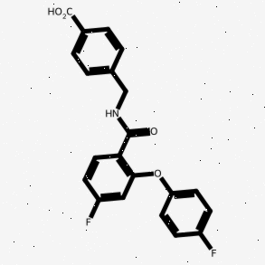 O=C(O)c1ccc(CNC(=O)c2ccc(F)cc2Oc2ccc(F)cc2)cc1